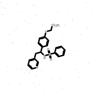 CCOC(=O)COc1ccc(C(Cc2cccnc2)NS(=O)(=O)c2ccccc2)cc1